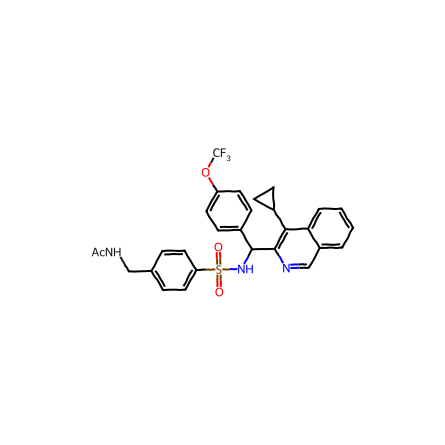 CC(=O)NCc1ccc(S(=O)(=O)NC(c2ccc(OC(F)(F)F)cc2)c2ncc3ccccc3c2C2CC2)cc1